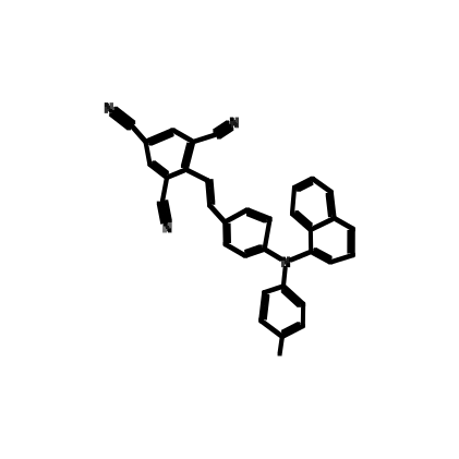 Cc1ccc(N(c2ccc(C=Cc3c(C#N)cc(C#N)cc3C#N)cc2)c2cccc3ccccc23)cc1